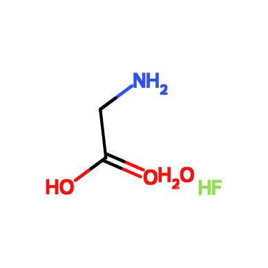 F.NCC(=O)O.O